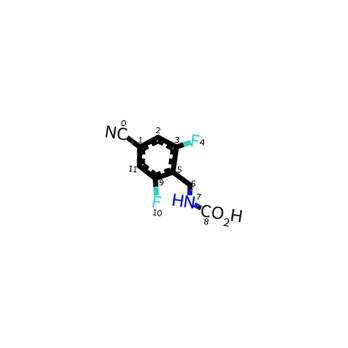 N#Cc1cc(F)c(CNC(=O)O)c(F)c1